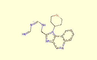 N=C/N=C\NCc1nc2cnc3ccccc3c2n1C1CCOCC1